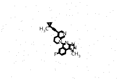 Cn1nnc2nc(N3CCCc4c(C#CC5(C)CC5)cncc43)c3cc(F)ccc3c21